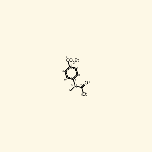 CCOC(=O)c1ccc(N(C)C(=O)CC)cc1